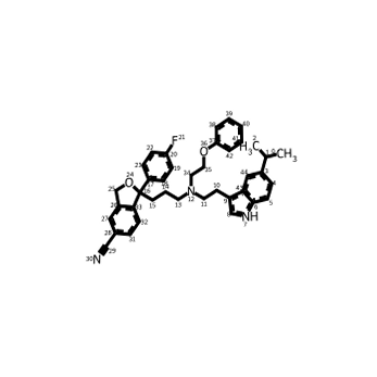 CC(C)c1ccc2[nH]cc(CCN(CCCC3(c4ccc(F)cc4)OCc4cc(C#N)ccc43)CCOc3ccccc3)c2c1